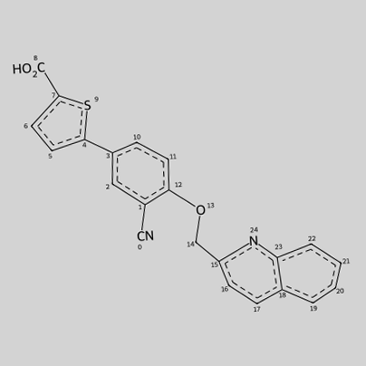 N#Cc1cc(-c2ccc(C(=O)O)s2)ccc1OCc1ccc2ccccc2n1